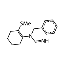 CSC1=C(N(C=N)Cc2ccccc2)CCCC1